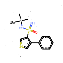 CC(C)(C)[Si](C)(C)NS(=N)(=O)c1cscc1-c1ccccc1